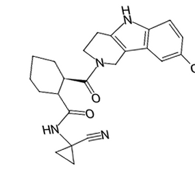 N#CC1(NC(=O)C2CCCC[C@H]2C(=O)N2CCc3[nH]c4ccc(Cl)cc4c3C2)CC1